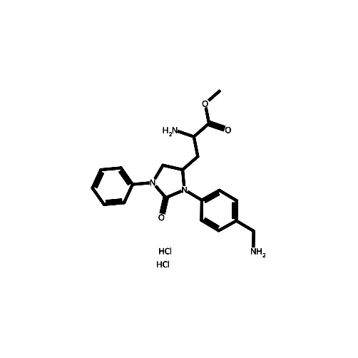 COC(=O)C(N)CC1CN(c2ccccc2)C(=O)N1c1ccc(CN)cc1.Cl.Cl